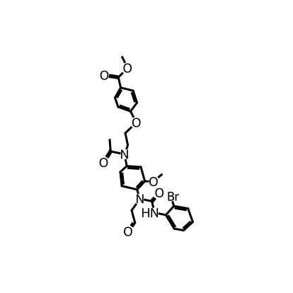 COC(=O)c1ccc(OCCN(C(C)=O)c2ccc(N(CC=O)C(=O)Nc3ccccc3Br)c(OC)c2)cc1